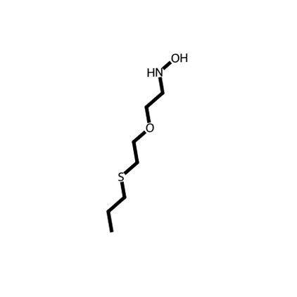 CCCSCCOCCNO